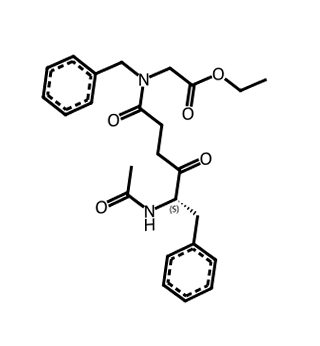 CCOC(=O)CN(Cc1ccccc1)C(=O)CCC(=O)[C@H](Cc1ccccc1)NC(C)=O